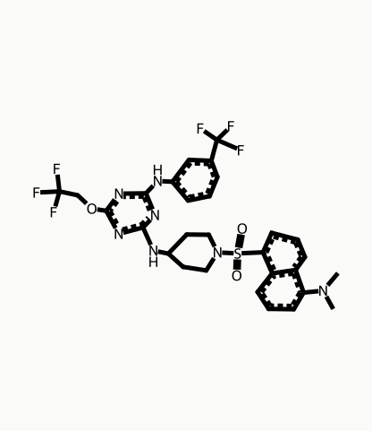 CN(C)c1cccc2c(S(=O)(=O)N3CCC(Nc4nc(Nc5cccc(C(F)(F)F)c5)nc(OCC(F)(F)F)n4)CC3)cccc12